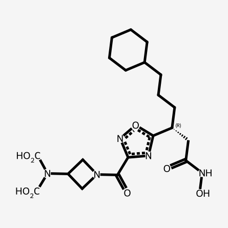 O=C(C[C@@H](CCCC1CCCCC1)c1nc(C(=O)N2CC(N(C(=O)O)C(=O)O)C2)no1)NO